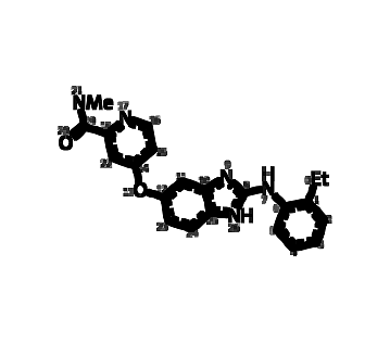 CCc1ccccc1Nc1nc2cc(Oc3ccnc(C(=O)NC)c3)ccc2[nH]1